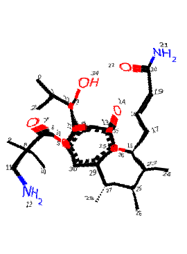 CC(C)C[C@H](OC(=O)C(C)(C)CN)C(=O)O[C@@H](C/C=C/C(N)=O)C(C)[C@@H](C)[C@H](C)c1ccc(CO)cc1